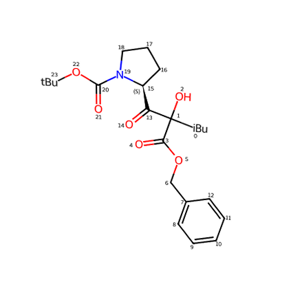 CCC(C)C(O)(C(=O)OCc1ccccc1)C(=O)[C@@H]1CCCN1C(=O)OC(C)(C)C